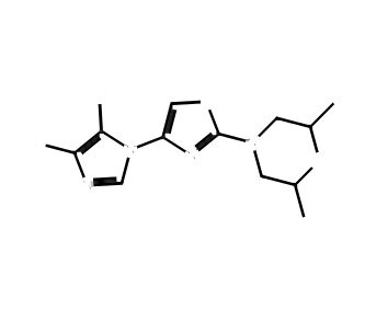 CC1CN(c2nc(-n3cnc(Br)c3Br)cs2)CC(C)O1